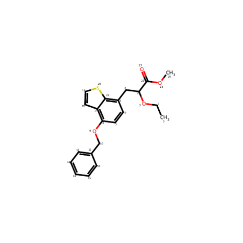 CCOC(Cc1ccc(OCc2ccccc2)c2ccsc12)C(=O)OC